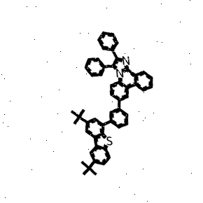 CC(C)(C)c1ccc2sc3c(-c4cccc(-c5ccc6c(c5)c5ccccc5c5nc(-c7ccccc7)c(-c7ccccc7)n65)c4)cc(C(C)(C)C)cc3c2c1